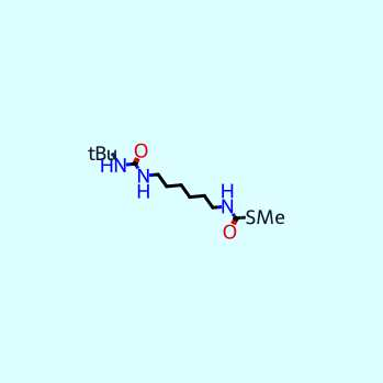 CSC(=O)NCCCCCCNC(=O)NC(C)(C)C